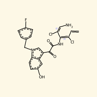 C=C/C(Cl)=C(NC(=O)C(=O)c1cn(Cc2ccc(F)cc2)c2ccc(O)cc12)\C(Cl)=C/N